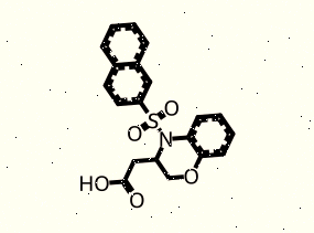 O=C(O)CC1COc2ccccc2N1S(=O)(=O)c1ccc2ccccc2c1